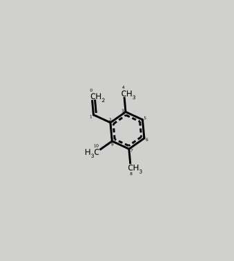 C=Cc1c(C)ccc(C)c1C